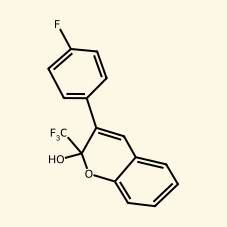 OC1(C(F)(F)F)Oc2ccccc2C=C1c1ccc(F)cc1